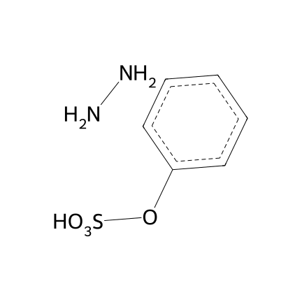 NN.O=S(=O)(O)Oc1ccccc1